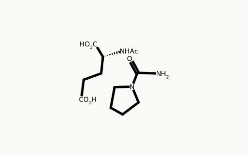 CC(=O)N[C@H](CCC(=O)O)C(=O)O.NC(=O)N1CCCC1